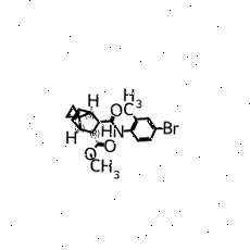 COC(=O)[C@H]1C(C(=O)Nc2ccc(Br)cc2C)[C@@H]2C=C[C@H]1C21CC1